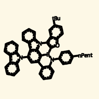 CCCCCc1ccc(N2B3c4oc5ccc(C(C)(C)C)cc5c4-n4c5ccccc5c5c(-n6c7ccccc7c7ccccc76)cc(c3c54)-c3ccccc32)cc1